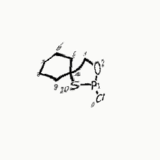 ClP1OCC2(CCCCC2)S1